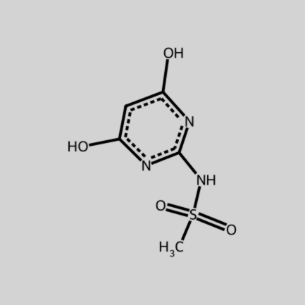 CS(=O)(=O)Nc1nc(O)cc(O)n1